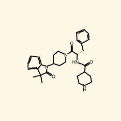 CC1(C)C(=O)N(C2CCN(C(=O)[C@H](Cc3ccccc3)NC(=O)C3CCNCC3)CC2)c2ccccc21